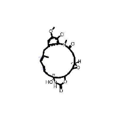 COc1cc2cc(c1Cl)N(C)C(=O)CC[C@@H]1OC1CC1C[C@](O)(C/C=C/C=C(\C)C2)NC(=O)O1